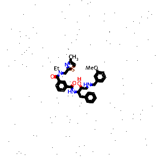 CCN(Cc1nc(C)cs1)C(=O)c1cccc(C(=O)NC(Cc2ccccc2)C(O)CNCc2cccc(OC)c2)c1